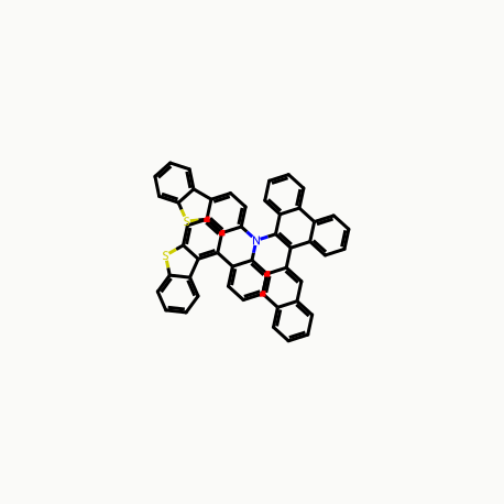 c1ccc(N(c2ccc3c(c2)sc2ccccc23)c2c(-c3ccc4ccccc4c3)c3ccccc3c3ccccc23)c(-c2cccc3sc4ccccc4c23)c1